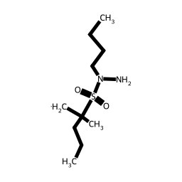 [CH2]C(C)(CCC)S(=O)(=O)N(N)CCCC